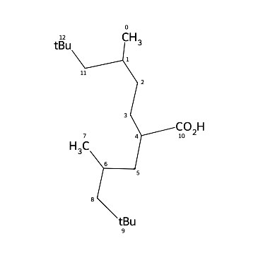 CC(CCC(CC(C)CC(C)(C)C)C(=O)O)CC(C)(C)C